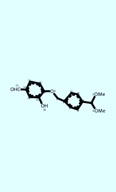 COC(OC)c1ccc(COc2ccc(C=O)cc2O)cc1